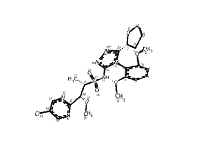 COc1cccc(OC)c1-n1c(NS(=O)(=O)[C@@H](C)[C@H](OC)c2ncc(Cl)cn2)nnc1[C@H]1CCCO1